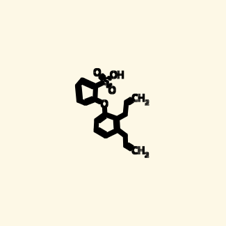 C=CCc1cccc(Oc2ccccc2S(=O)(=O)O)c1CC=C